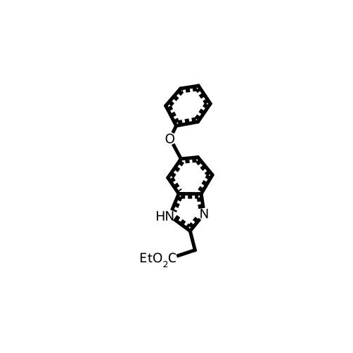 CCOC(=O)Cc1nc2ccc(Oc3ccccc3)cc2[nH]1